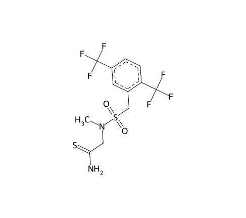 CN(CC(N)=S)S(=O)(=O)Cc1cc(C(F)(F)F)ccc1C(F)(F)F